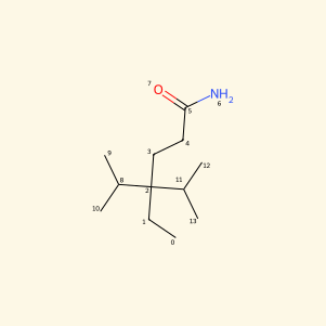 CCC(CCC(N)=O)(C(C)C)C(C)C